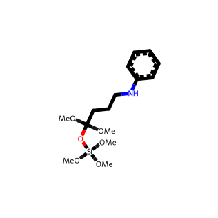 COC(CCCNc1ccccc1)(OC)O[Si](OC)(OC)OC